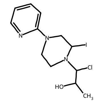 CC(O)C(Cl)N1CCN(c2ccccn2)CC1I